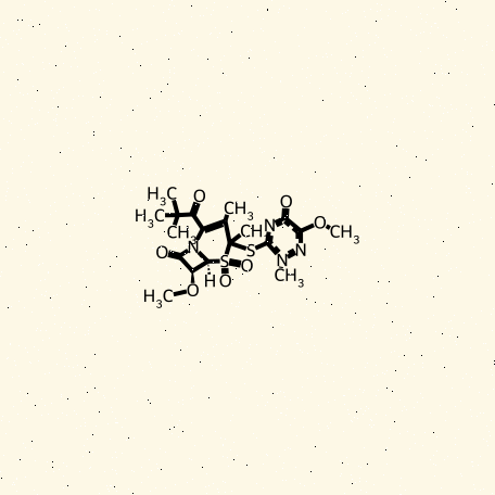 COc1nn(C)c(SC2(C)C(C)=C(C(=O)C(C)(C)C)N3C(=O)[C@H](OC)[C@@H]3S2(=O)=O)nc1=O